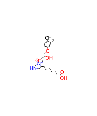 Cc1ccc(OCC(O)CC[N+]2([O-])CNCC2CCCCCCC(=O)O)cc1